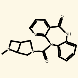 CN1CC2CN(C(=O)N3c4ccccc4NC(=O)c4cccnc43)CC21